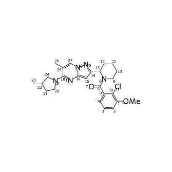 COc1cccc(C(=O)N2CCCC[C@H]2c2cc3nc(N4CC[C@H](C)C4)c(C)cn3n2)c1Cl